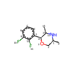 CC1COC(c2cccc(F)c2F)C(C)N1